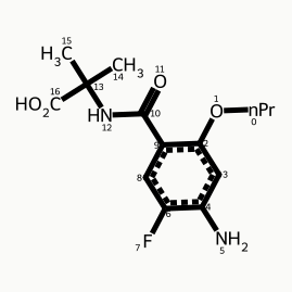 CCCOc1cc(N)c(F)cc1C(=O)NC(C)(C)C(=O)O